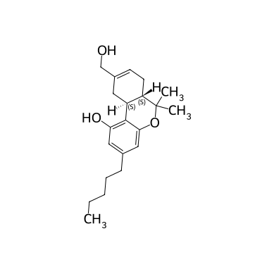 CCCCCc1cc(O)c2c(c1)OC(C)(C)[C@H]1CC=C(CO)C[C@H]21